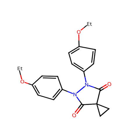 CCOc1ccc(N2C(=O)C3(CC3)C(=O)N2c2ccc(OCC)cc2)cc1